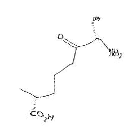 CC(C)[C@H](N)C(=O)CCC[C@@H](C)C(=O)O